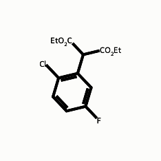 CCOC(=O)C(C(=O)OCC)c1cc(F)ccc1Cl